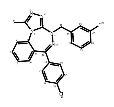 Cc1nnc2n1-c1ccccc1C(c1ccc(Cl)cc1)=NN2Cc1cccc(F)c1